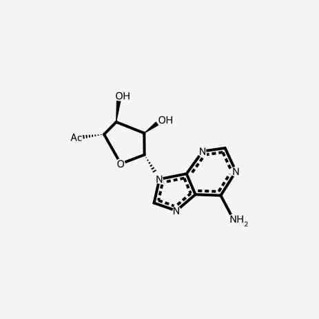 CC(=O)[C@H]1O[C@@H](n2cnc3c(N)ncnc32)[C@H](O)[C@@H]1O